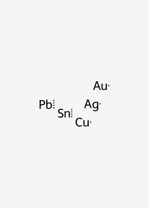 [Ag].[Au].[Cu].[Pb].[Sn]